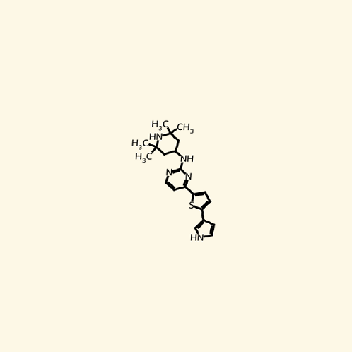 CC1(C)CC(Nc2nccc(-c3ccc(-c4cc[nH]c4)s3)n2)CC(C)(C)N1